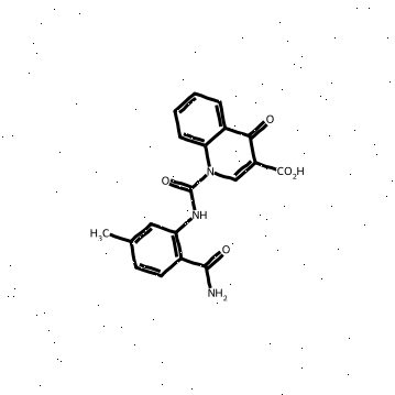 Cc1ccc(C(N)=O)c(NC(=O)n2cc(C(=O)O)c(=O)c3ccccc32)c1